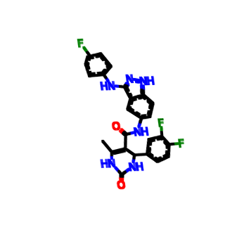 CC1=C(C(=O)Nc2ccc3[nH]nc(Nc4ccc(F)cc4)c3c2)C(c2ccc(F)c(F)c2)NC(=O)N1